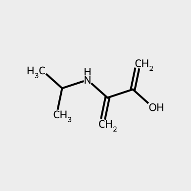 C=C(O)C(=C)NC(C)C